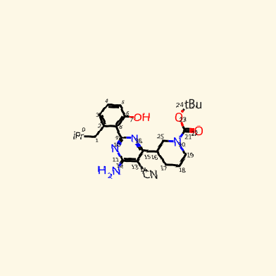 CC(C)Cc1cccc(O)c1-c1nc(N)c(C#N)c(C2CCCN(C(=O)OC(C)(C)C)C2)n1